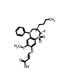 CCCC[C@@H]1CN(c2ccccc2)c2cc(SC)c(O/C=C/C(=O)O)cc2S(=O)(=O)[C@H]1F